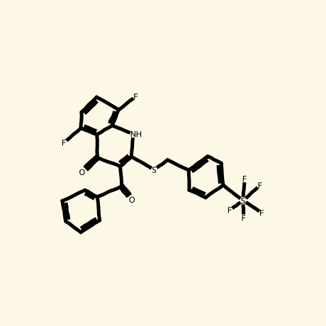 O=C(c1ccccc1)c1c(SCc2ccc(S(F)(F)(F)(F)F)cc2)[nH]c2c(F)ccc(F)c2c1=O